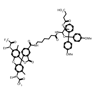 CCN(C(=O)C(F)(F)F)c1cc2c(cc1C)C1(OC(=O)c3cc(C(=O)NCCCCCC(=O)NC(OC(c4ccccc4)(c4ccc(OC)cc4)c4ccc(OC)cc4)C(C)OC(=O)CCC(=O)O)ccc31)c1cc(C)c(N(CC)C(=O)C(F)(F)F)cc1O2